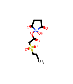 CCCS(=O)(=O)CC(=O)O[N+]1(O)C(=O)CCC1=O